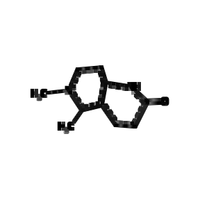 Cc1c2ccc(=O)[nH]c2cc[n+]1C